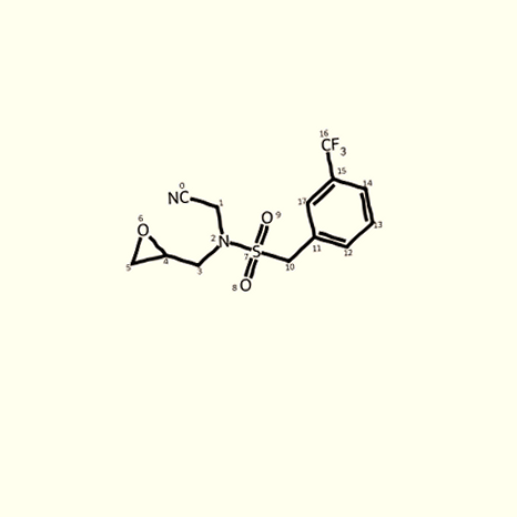 N#CCN(CC1CO1)S(=O)(=O)Cc1cccc(C(F)(F)F)c1